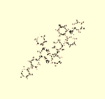 c1ccc(-c2ccc(-c3nc(-c4ccccc4)nc4c3oc3cccc(-c5cccc(-c6cccc7c6c6ccccc6n7-c6ccccc6)c5)c34)cc2)cc1